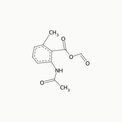 CC(=O)Nc1cccc(C)c1C(=O)OC=O